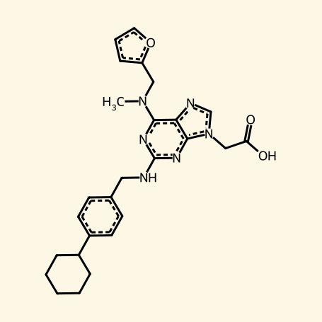 CN(Cc1ccco1)c1nc(NCc2ccc(C3CCCCC3)cc2)nc2c1ncn2CC(=O)O